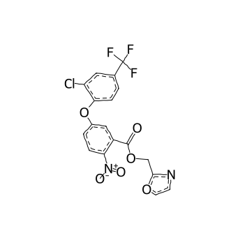 O=C(OCc1ncco1)c1cc(Oc2ccc(C(F)(F)F)cc2Cl)ccc1[N+](=O)[O-]